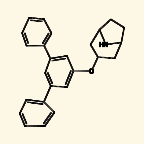 c1ccc(-c2cc(OC3CC4CCC(C3)N4)cc(-c3ccccc3)c2)cc1